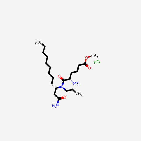 CCCCCCCCC[C@@H](CC(N)=O)N(CCC)C(=O)[C@@H](N)CCCC(=O)OC.Cl